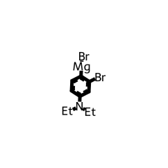 CCN(CC)c1cc[c]([Mg][Br])c(Br)c1